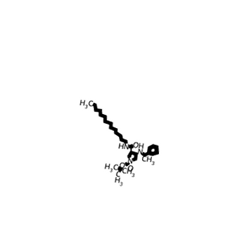 CCCCCCCCCCCCCCNC(=O)[C@@H]1CN(C(=O)OC(C)(C)C)C[C@H]1N[C@H](C)c1ccccc1